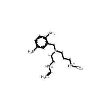 Bc1ccc(N)c(CN(CCCNC)CCNC=C)c1